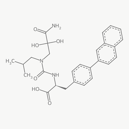 CC(C)CN(CC(O)(O)C(N)=O)C(=O)N[C@@H](Cc1ccc(-c2ccc3ccccc3c2)cc1)C(=O)O